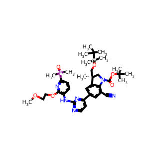 COCCOc1nc(P(C)(C)=O)ccc1Nc1nccc(-c2cc(C#N)c3c(c2)[C@@](C)(CO[Si](C)(C)C(C)(C)C)CN3C(=O)OC(C)(C)C)n1